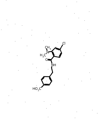 CN(C)c1cc(Cl)ccc1C(=O)NCCc1ccc(C(=O)O)cc1